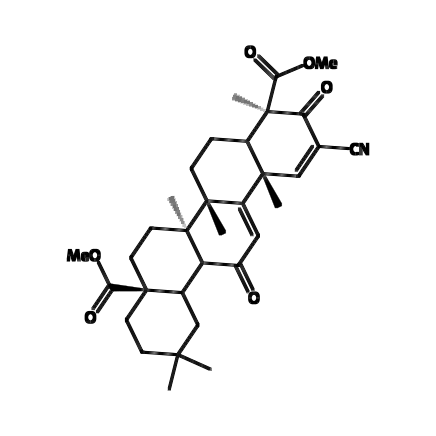 COC(=O)[C@]12CCC(C)(C)CC1C1C(=O)C=C3[C@@]4(C)C=C(C#N)C(=O)[C@](C)(C(=O)OC)C4CC[C@@]3(C)[C@]1(C)CC2